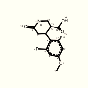 COc1cc(F)c(C2CC(=O)NC[C@H]2C(=O)O)c(F)c1